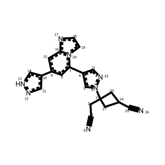 N#CCC1(n2cc(-c3cc(-c4cn[nH]c4)cc4nccn34)cn2)CC(C#N)C1